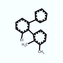 CCc1cccc(-c2ccccc2)c1-c1cccc(C)c1C